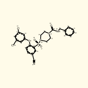 N#Cc1ccc(Oc2cc(Cl)cc(Cl)c2)c(S(=O)(=O)N2CCN(C(=O)NCc3ccccc3)CC2)c1